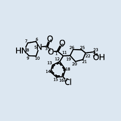 O=C(OC(=O)N1CCNCC1)C(c1cccc(Cl)c1)C1CCC(CO)CC1